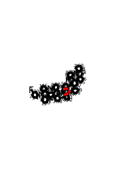 Fc1cccc(N(c2ccccc2)c2cccc3c2c2cccc4c5c(N(c6ccccc6)c6cc(F)ccc6-c6cccc(N(c7ccccc7)c7cccc8c7c7cccc9c%10c(N(c%11ccccc%11)c%11ccccc%11F)cccc%10n8c97)c6F)cccc5n3c24)c1